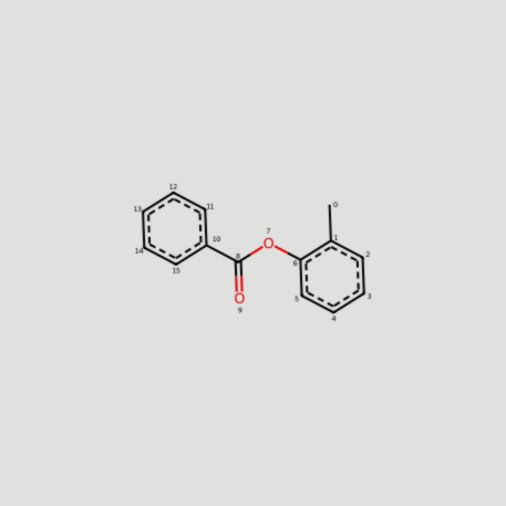 Cc1ccccc1OC(=O)c1ccccc1